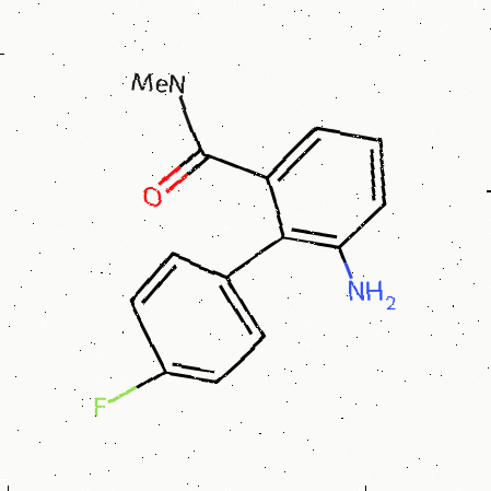 CNC(=O)c1cccc(N)c1-c1ccc(F)cc1